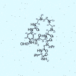 CCCN(CC(=O)NC(C(N)=O)C(C)C)C(=O)C(CC(N)=O)NC(=O)CN(C)CCN(C)CCN(C)CCNC(=O)Nc1ccc(NC=O)cc1